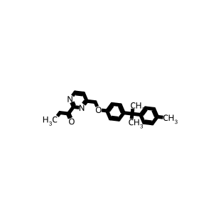 CCC(=O)c1nccc(COc2ccc(C(C)(C)c3ccc(C)cc3)cc2)n1